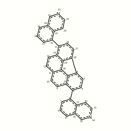 c1cc(-c2ccc3c4c2ccc2ccc5c(-c6cccc7cnccc67)ccc-3c5c24)c2ccncc2c1